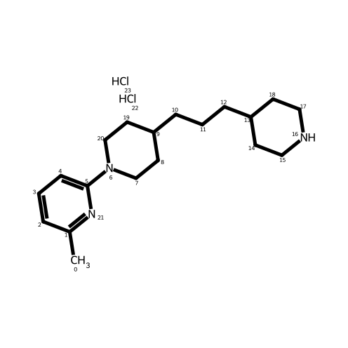 Cc1cccc(N2CCC(CCCC3CCNCC3)CC2)n1.Cl.Cl